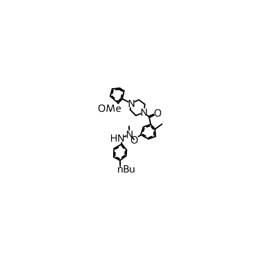 CCCCc1ccc(NN(C)Oc2ccc(C)c(C(=O)N3CCN(c4ccccc4OC)CC3)c2)cc1